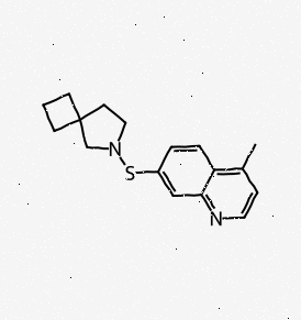 Cc1ccnc2cc(SN3CCC4(CCC4)C3)ccc12